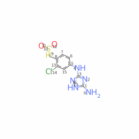 Nc1nc(Nc2ccc(C[SH](=O)=O)c(Cl)c2)n[nH]1